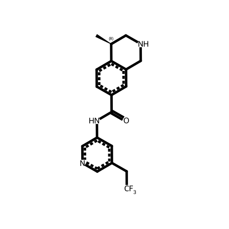 C[C@H]1CNCc2cc(C(=O)Nc3cncc(CC(F)(F)F)c3)ccc21